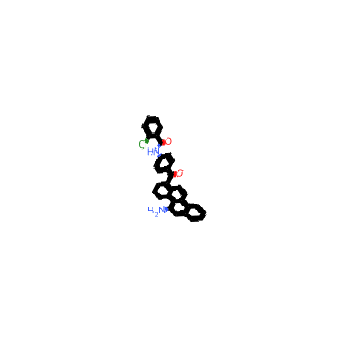 NC1C=c2ccccc2=c2ccc3c(c21)CCCC=3C(=O)c1ccc(NC(=O)c2ccccc2Cl)cc1